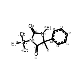 CCN1C(=O)N([Si](CC)(CC)CC)C(=O)C1(C)c1ccccc1